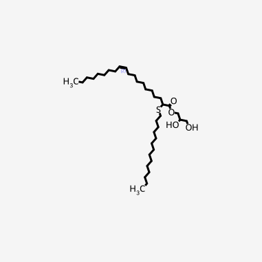 CCCCCCCC/C=C\CCCCCCCCC(SCCCCCCCCCCCCCC)C(=O)OCC(O)CO